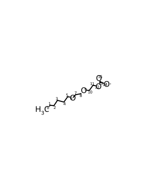 CCCCCCOCCOCCOC([O])=O